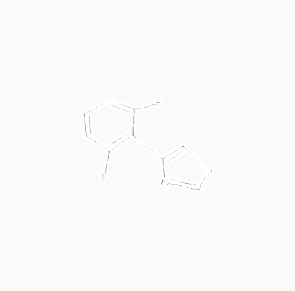 Fc1cccc(F)c1-c1co[c]n1